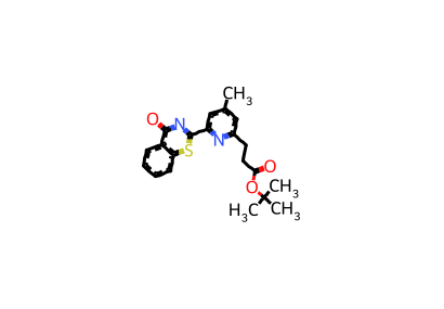 Cc1cc(CCC(=O)OC(C)(C)C)nc(-c2nc(=O)c3ccccc3s2)c1